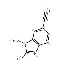 C#Cc1cnc2nc(O)n(CCCCC)c2c1